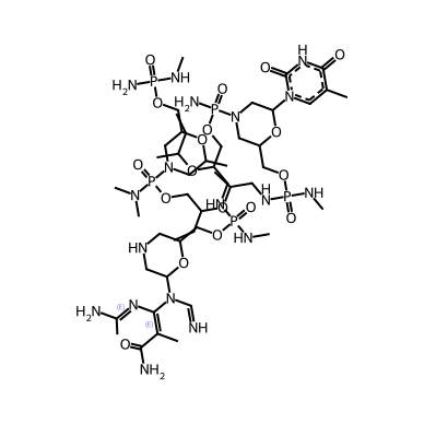 CCC(C)OC(CNP(=O)(NC)OCC1CNCC(N(C=N)C(/N=C(\C)N)=C(\C)C(N)=O)O1)COP(N)(=O)N1CC(COP(=O)(NC)NCC(C)OC(CC)COP(=O)(N(C)C)N2CC(C)OC(COP(N)(=O)NC)C2)OC(n2cc(C)c(=O)[nH]c2=O)C1